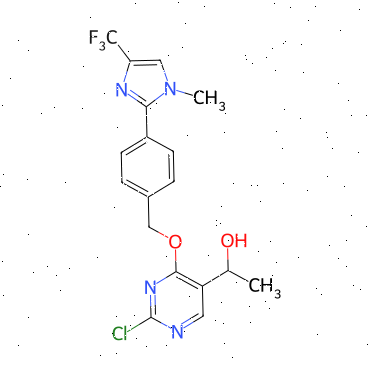 CC(O)c1cnc(Cl)nc1OCc1ccc(-c2nc(C(F)(F)F)cn2C)cc1